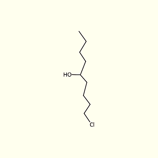 CCCCC(O)CCCCCl